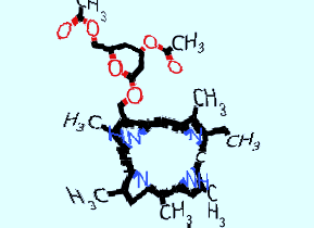 CCC1=C(C)c2cc3[nH]c(cc4nc(c(C)c5cc(C)c(cc1n2)[nH]5)CC4C)c(C)c3COC1CC(OC(C)=O)CC(COC(C)=O)O1